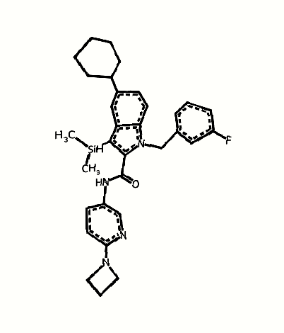 C[SiH](C)c1c(C(=O)Nc2ccc(N3CCC3)nc2)n(Cc2cccc(F)c2)c2ccc(C3CCCCC3)cc12